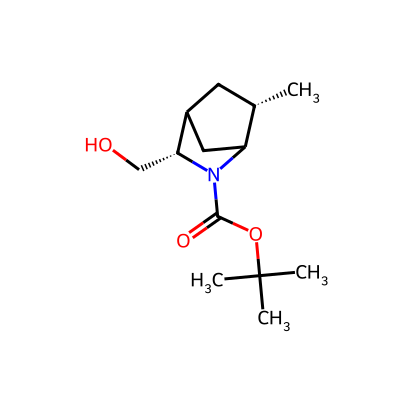 C[C@H]1CC2CC1N(C(=O)OC(C)(C)C)[C@@H]2CO